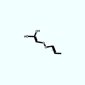 C/C=C/OOC=C(O)O